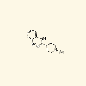 CC(=O)N1CCC(C(=O)Nc2ccccc2Br)CC1